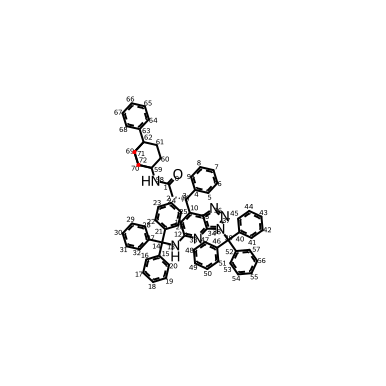 O=C(C[C@H](c1ccccc1)c1cc(NC(c2ccccc2)(c2ccccc2)c2ccccc2)nc2c1nnn2C(c1ccccc1)(c1ccccc1)c1ccccc1)NC12CCC(c3ccccc3)(CC1)CC2